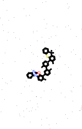 Cc1ccc(-c2c(C)ccc3c2Sc2ccccc2C3(C)C)cc1-c1cc(-c2c(C)ccc3c2oc2nc4ccccc4n23)ccc1C